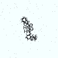 O=C(NSc1ccccc1SC(F)(F)F)NC(=O)c1cc2ccccc2o1